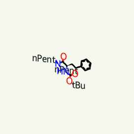 CCCCCN(CCCCC)C(=O)[C@@H](CCc1ccccc1)NC(=O)OC(C)(C)C